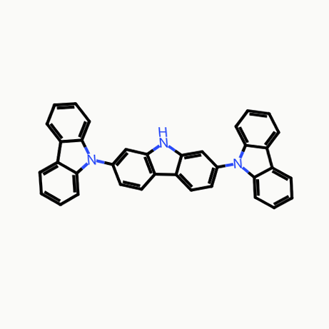 c1ccc2c(c1)c1ccccc1n2-c1ccc2c(c1)[nH]c1cc(-n3c4ccccc4c4ccccc43)ccc12